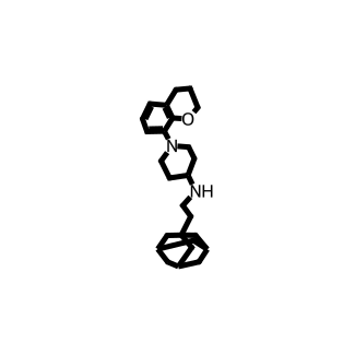 c1cc2c(c(N3CCC(NCCC45CC6CC(CC(C6)C4)C5)CC3)c1)OCCC2